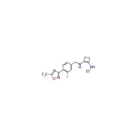 CCNC1=C(NCc2ccc(-c3noc(C(F)(F)F)n3)c(F)c2)CC1